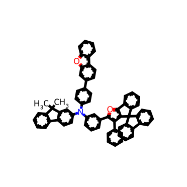 CC1(C)c2ccccc2-c2ccc(N(c3ccc(-c4ccc5c(c4)oc4ccccc45)cc3)c3cccc(-c4oc5c(c4-c4ccccc4)C4(c6ccccc6-c6ccccc64)c4ccccc4-5)c3)cc21